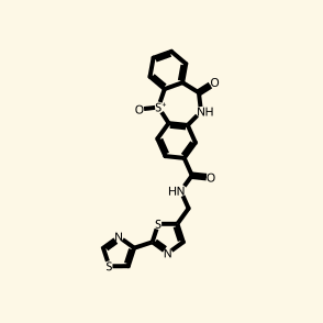 O=C(NCc1cnc(-c2cscn2)s1)c1ccc2c(c1)NC(=O)c1ccccc1[S+]2[O-]